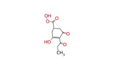 CCC(=O)C1=C(O)CC(C(=O)OO)CC1=O